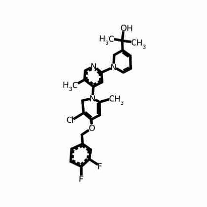 CC1=CC(OCc2ccc(F)c(F)c2)=C(Cl)CN1c1cc(N2C=CC=C(C(C)(C)O)C2)ncc1C